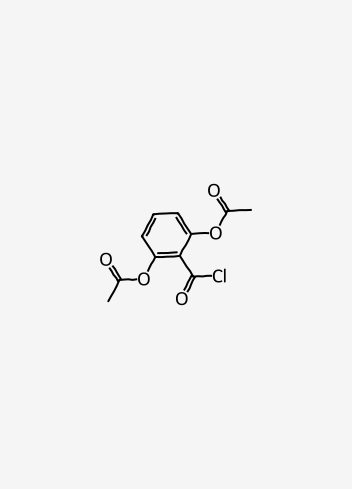 CC(=O)Oc1cccc(OC(C)=O)c1C(=O)Cl